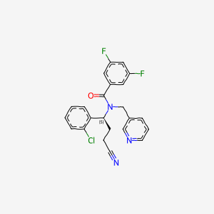 N#CCC[C@@H](c1ccccc1Cl)N(Cc1cccnc1)C(=O)c1cc(F)cc(F)c1